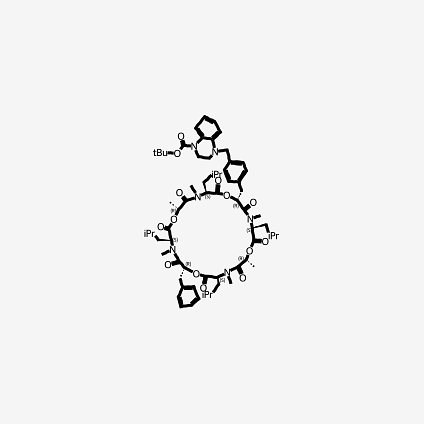 CC(C)C[C@H]1C(=O)O[C@H](Cc2ccc(CN3CCN(C(=O)OC(C)(C)C)c4ccccc43)cc2)C(=O)N(C)[C@@H](CC(C)C)C(=O)O[C@H](C)C(=O)N(C)[C@@H](CC(C)C)C(=O)O[C@H](Cc2ccccc2)C(=O)N(C)[C@@H](CC(C)C)C(=O)O[C@H](C)C(=O)N1C